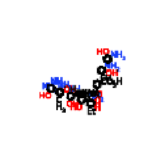 CCc1ccc(N)c(O)c1.CNc1ccc(O)cc1.COC(=O)c1cccc(C(=O)O)c1.Cc1cc(O)ccc1N.Cc1ccc(N)c(O)c1.Cc1cccc(N)c1O.N.Nc1ccc(O)cc1.Nc1ccccc1O